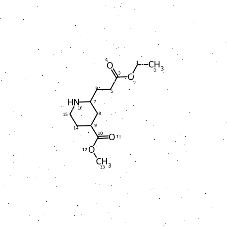 CCOC(=O)CCC1CC(C(=O)OC)CCN1